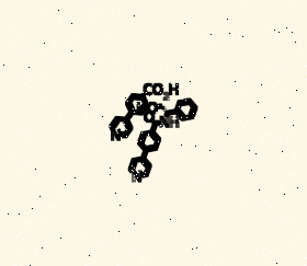 O=C(N[C@H](CO)c1ccccc1)c1ccc(-c2ccncc2)cc1.O=C(O)c1ccc(-c2ccncc2)cc1